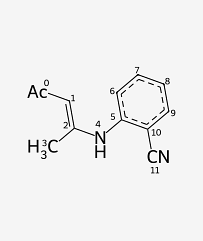 CC(=O)C=C(C)Nc1ccccc1C#N